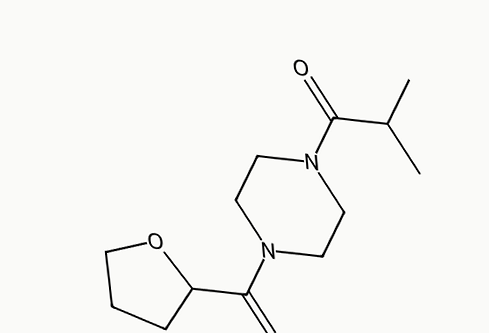 CC(C)C(=O)N1CCN(C(=O)C2CCCO2)CC1